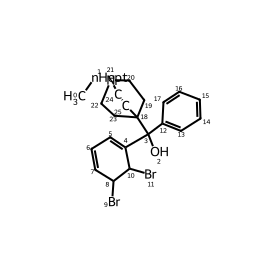 CCCCCCCC.OC(C1=CC=CC(Br)C1Br)(c1ccccc1)C12CCN(CC1)CC2